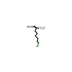 CSC=C(CCCCCCBr)C(=O)O